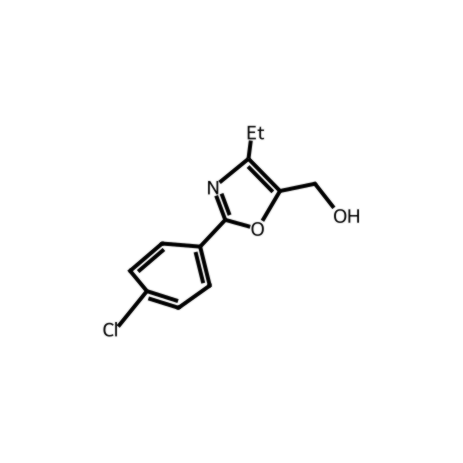 CCc1nc(-c2ccc(Cl)cc2)oc1CO